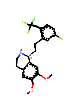 COc1cc2c(cc1OC)[C@H](CCc1cc(F)ccc1C(F)(F)F)NCC2